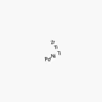 [Ni].[Pd].[Ti].[Ti].[Zr]